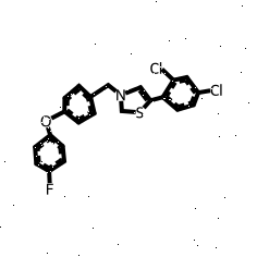 Fc1ccc(Oc2ccc(CN3C=C(c4ccc(Cl)cc4Cl)SC3)cc2)cc1